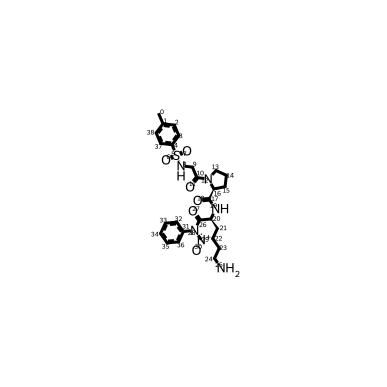 Cc1ccc(S(=O)(=O)NCC(=O)N2CCC[C@H]2C(=O)N[C@@H](CCCCN)C(=O)N([N+]=O)c2ccccc2)cc1